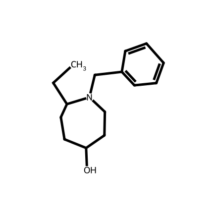 CCC1CCC(O)CCN1Cc1ccccc1